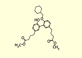 COC(=O)CCCc1ccc(O)c(-c2cc(CCCC(=O)OC)ccc2OCC2CCCCC2)c1